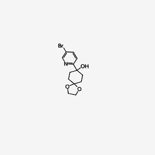 OC1(c2ccc(Br)cn2)CCC2(CC1)OCCO2